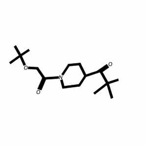 CC(C)(C)OCC(=O)N1CCC(C(=O)C(C)(C)C)CC1